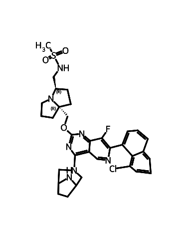 CS(=O)(=O)NC[C@H]1CC[C@@]2(COc3nc(N4CC5CCC(C4)N5)c4cnc(-c5cccc6cccc(Cl)c56)c(F)c4n3)CCCN12